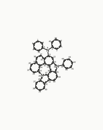 c1ccc(N(c2ccccc2)c2cc3c4c5c2ccc2cccc(c25)n2c5ccccc5c5ccc(c4c52)n3-c2ccccc2)cc1